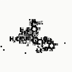 CC[C@@H]1CN(Cc2cc(C(c3ccc4c(nnn4CC)c3C)C(C)(C)C(=O)NC(C)(C)C(=O)O)ccc2C)S(=O)(=O)c2ccccc2O1